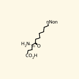 CCCCCCCCCCCCCCCC(=O)[C@@H](N)CCC(=O)O